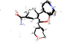 CCC1=C(/C=C(\C)C(N)=O)C(C2CCOCC2)Oc2cnccc21